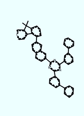 CC1(C)c2ccccc2-c2c(-c3ccc4ccc(-c5nc(-c6cccc(-c7ccccc7)c6)nc(-c6cccc(-c7ccccc7)c6)n5)cc4c3)cccc21